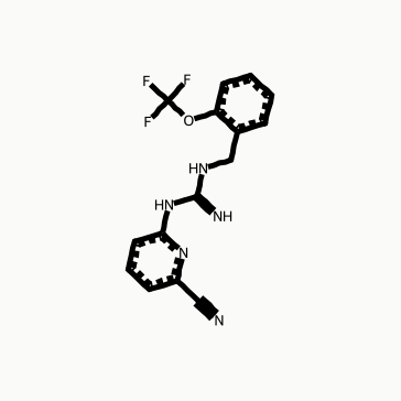 N#Cc1cccc(NC(=N)NCc2ccccc2OC(F)(F)F)n1